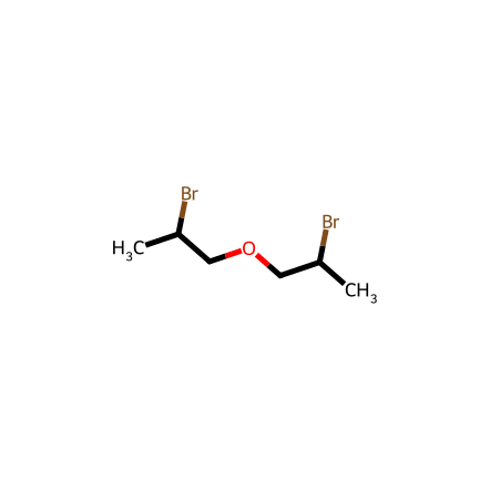 CC(Br)COCC(C)Br